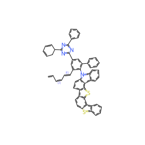 C=C/C=C\C=C\c1cc(-c2nc(-c3ccccc3)nc(C3C=CC=CC3)n2)cc(-c2ccccc2)c1-n1c2ccccc2c2c3sc4c(ccc5sc6ccccc6c54)c3ccc21